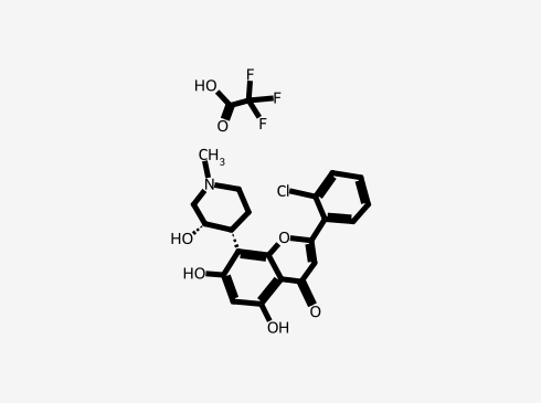 CN1CC[C@H](c2c(O)cc(O)c3c(=O)cc(-c4ccccc4Cl)oc23)[C@H](O)C1.O=C(O)C(F)(F)F